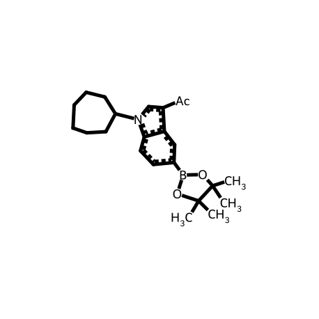 CC(=O)c1cn(C2CCCCCC2)c2ccc(B3OC(C)(C)C(C)(C)O3)cc12